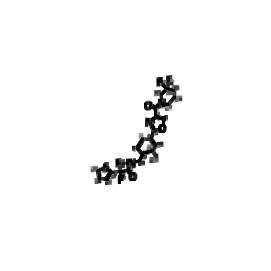 O=C(c1coc(-c2ccc(CNC(=O)C(F)(F)c3cccs3)c(I)c2)n1)N1CCCC(F)(F)C1